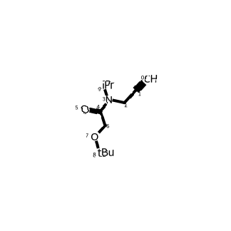 C#CCN(C(=O)COC(C)(C)C)C(C)C